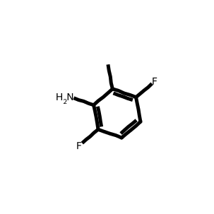 Cc1c(F)ccc(F)c1N